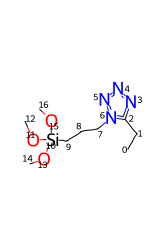 CCc1nnnn1CCC[Si](OC)(OC)OC